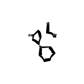 O=CO.c1cc[nH]c1.c1ccncc1